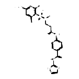 COc1cc(C)c(S(=O)(=O)N(C)CCC(=O)Nc2ccc(C(=O)Nc3ncc[nH]3)cc2)c(C)c1